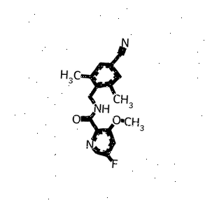 COc1cc(F)cnc1C(=O)NCc1c(C)cc(C#N)cc1C